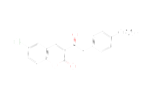 COc1ccc(CC(=O)c2cc3cc(Cl)ccc3oc2=O)cc1